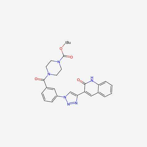 CC(C)(C)OC(=O)N1CCN(C(=O)c2cccc(-n3cc(-c4cc5ccccc5[nH]c4=O)nn3)c2)CC1